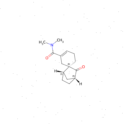 CN(C)C(=O)C1=CCC[C@]2(C1)C(=O)[C@@H]1CC[C@H]2C1